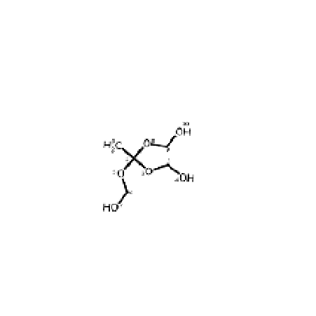 CC(OCO)(OCO)OCO